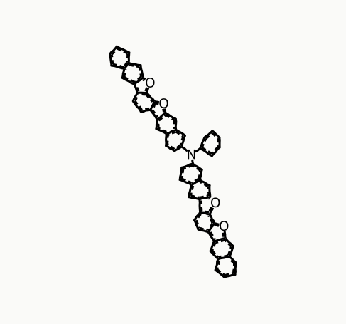 c1ccc(N(c2ccc3cc4c(cc3c2)oc2c4ccc3c4cc5ccccc5cc4oc32)c2ccc3cc4c(cc3c2)oc2c4ccc3c4cc5ccccc5cc4oc32)cc1